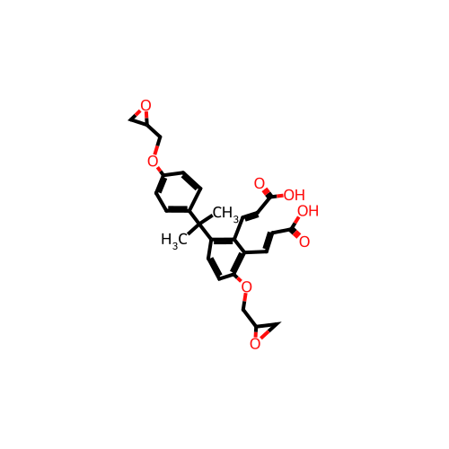 CC(C)(c1ccc(OCC2CO2)cc1)c1ccc(OCC2CO2)c(C=CC(=O)O)c1C=CC(=O)O